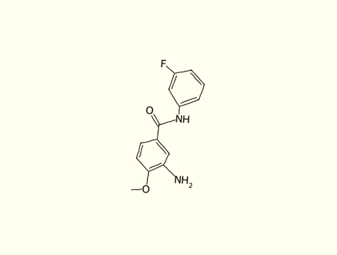 COc1ccc(C(=O)Nc2cccc(F)c2)cc1N